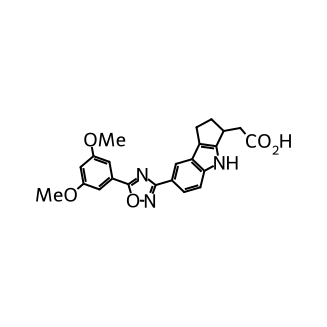 COc1cc(OC)cc(-c2nc(-c3ccc4[nH]c5c(c4c3)CCC5CC(=O)O)no2)c1